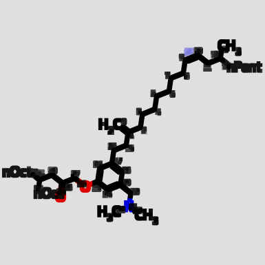 C=C(CCCCCCC/C=C\CC(C)CCCCC)CCc1cc(CN(C)C)cc(OCC(=O)CC(CCCCCCCC)CCCCCCCC)c1